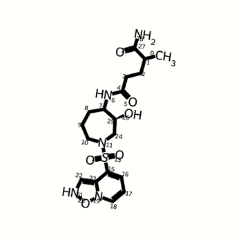 CC(C[CH]C(=O)NC1CCCN(S(=O)(=O)C2=CC=CN3ONC=C23)C[C@@H]1O)C(N)=O